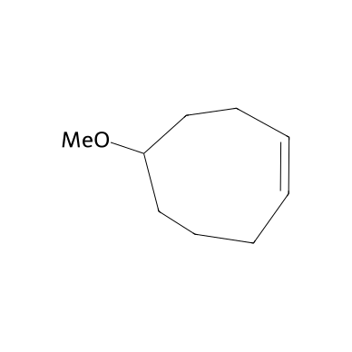 COC1CC/C=C\CCC1